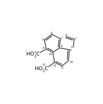 C=CC.O=C(O)c1cccc2cccc(C(=O)O)c12